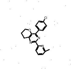 Cc1cccc(-c2nc3c(c(-c4ccc(Cl)cc4)n2)OCCC3)n1